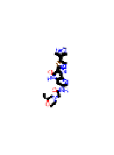 CC[C@H]1CN(CC(=O)Nc2cnc3c(c2)[nH]c(=O)c2c3nn3cc(-c4cnn(C)c4)sc23)CCO1